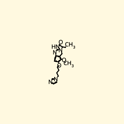 CCC1C(=O)NC2=Nc3ccc(OCCCCn4ccnc4)c(OC)c3CN21